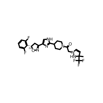 CC1(C(F)(F)F)C=CN(CC(=O)N2CCC(c3nc(C4=NO[C@H](c5c(F)cccc5F)C4)c[nH]3)CC2)N1